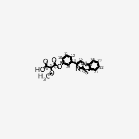 COC(C(=O)O)C(=O)Oc1cccc(-c2cn3c(n2)sc2ccccc23)c1